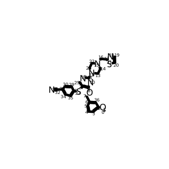 COc1cccc(COc2nc(N3CCN(Cc4nccs4)CC3)ncc2Sc2ccc(C#N)cc2)c1